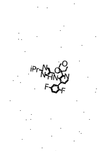 CC(C)c1ncc(C(=O)Nc2c(-c3cc(F)ccc3F)ccnc2C2(C)CCOCC2)cn1